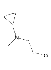 CN(CCCl)C1CC1